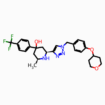 C[C@H]1CC(O)(c2ccc(C(F)(F)F)cc2)C[C@@H](c2cn(Cc3ccc(OC4CCOCC4)cc3)nn2)N1